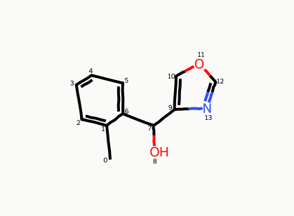 Cc1ccccc1C(O)c1cocn1